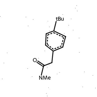 CNC(=O)Cc1ccc(C(C)(C)C)cc1